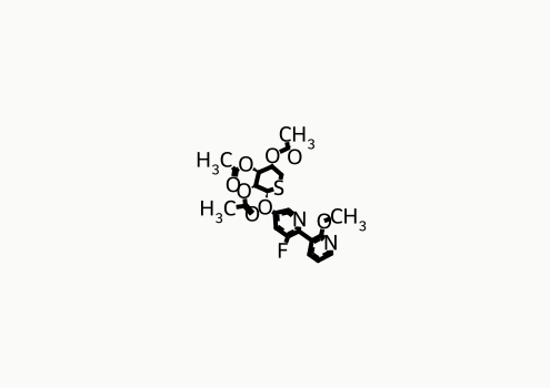 COc1ncccc1-c1ncc(O[C@H]2SC[C@@H](OC(C)=O)[C@H](OC(C)=O)[C@H]2OC(C)=O)cc1F